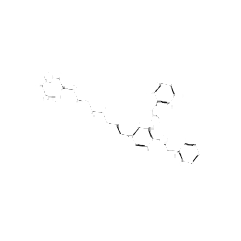 C(=Cc1ccc(OCc2ccccc2)c(OCc2ccccc2)c1)CCCCCCC1COCCO1